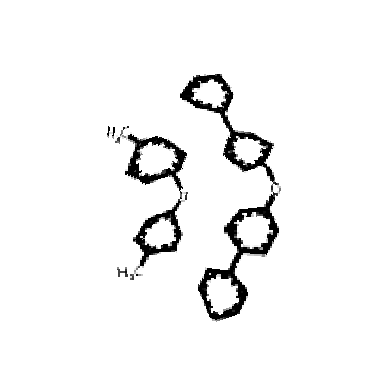 Cc1ccc(Oc2ccc(C)cc2)cc1.c1ccc(-c2ccc(Oc3ccc(-c4ccccc4)cc3)cc2)cc1